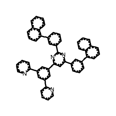 c1ccc(-c2cc(-c3ccccn3)cc(-c3cc(-c4cccc(-c5cccc6ccccc56)c4)nc(-c4cccc(-c5cccc6ccccc56)c4)n3)c2)nc1